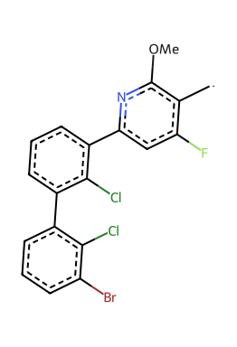 [CH2]c1c(F)cc(-c2cccc(-c3cccc(Br)c3Cl)c2Cl)nc1OC